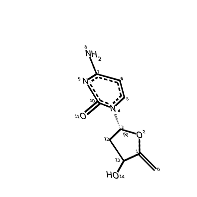 C=C1O[C@@H](n2ccc(N)nc2=O)CC1O